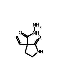 C=CC1(C(=O)NN)CCNC1=O